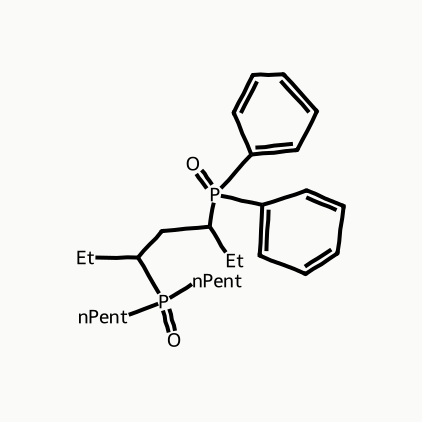 CCCCCP(=O)(CCCCC)C(CC)CC(CC)P(=O)(c1ccccc1)c1ccccc1